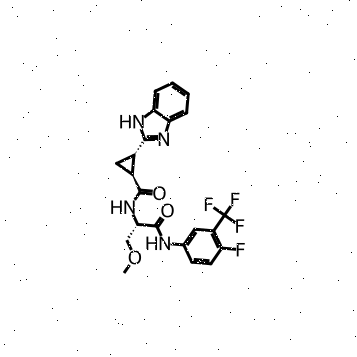 COC[C@H](NC(=O)[C@H]1C[C@@H]1c1nc2ccccc2[nH]1)C(=O)Nc1ccc(F)c(C(F)(F)F)c1